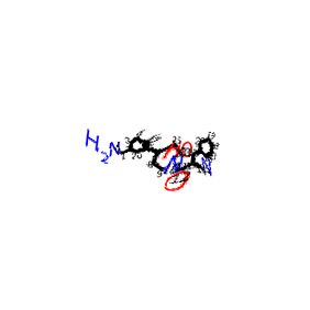 NCc1cccc(C2CCN(C(=O)c3cnc4ccccc4c3O)CC2)c1